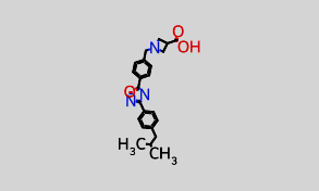 CC(C)Cc1ccc(-c2noc(-c3ccc(CN4CC(C(=O)O)C4)cc3)n2)cc1